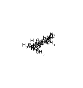 COc1cnc2c(-c3nc4c(C)cc(OCC(C)OC(=O)Nc5cccnc5)nc4s3)cc(C)cc2n1